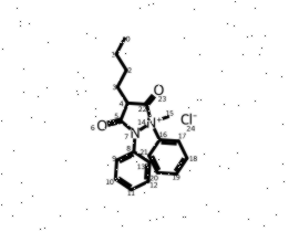 CCCCC1C(=O)N(c2ccccc2)[N+](C)(c2ccccc2)C1=O.[Cl-]